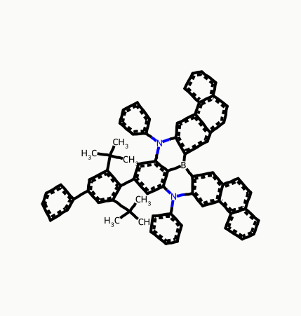 CC(C)(C)c1cc(-c2ccccc2)cc(C(C)(C)C)c1-c1cc2c3c(c1)N(c1ccccc1)c1cc4c(ccc5ccccc54)cc1B3c1cc3ccc4ccccc4c3cc1N2c1ccccc1